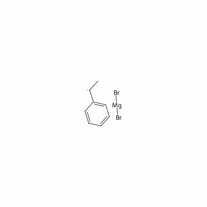 C[CH]c1ccccc1.[Br][Mg][Br]